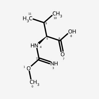 COC(=N)N[C@H](C(=O)O)C(C)C